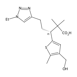 CCn1cc(CC[C@@H](c2cc(CO)c(C)s2)C(C)(C)C(=O)O)nn1